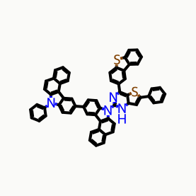 C1=C(c2ccccc2)SC2=C(c3ccc4sc5ccccc5c4c3)N=C(n3c4ccc(-c5ccc6c(c5)c5c7ccccc7ccc5n6-c5ccccc5)cc4c4c5ccccc5ccc43)NC12